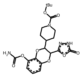 CC(C)(C)OC(=O)N1CCC(C2Oc3c(OC(N)=O)cccc3OC2c2n[nH]c(=O)o2)CC1